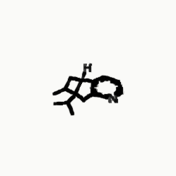 CC(C)C12Cc3ncccc3[C@H]1CC2C